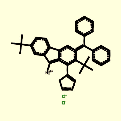 CC(C)(C)c1ccc2c(c1)[C]([Hf+2])=c1c-2cc(=C(c2ccccc2)c2ccccc2)c(C(C)(C)C)c1C1=CC=CC1.[Cl-].[Cl-]